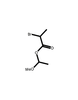 COC(C)OC(=O)C(C)Br